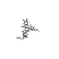 Cc1cc(C)n(-c2nc(Nc3ccc(F)c(F)c3)cc(N3C[C@H]4C[C@@H]3CN4C(=O)O)n2)n1